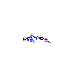 NCCNC(=O)COc1ccc(N2CCN(CCn3c(=O)sc4c3nc(N)n3nc(-c5ccco5)cc43)CC2)c(F)c1